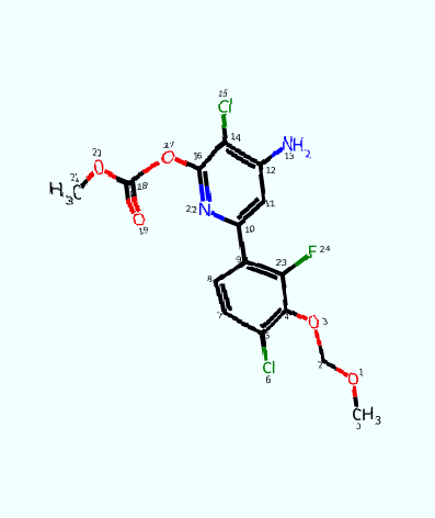 COCOc1c(Cl)ccc(-c2cc(N)c(Cl)c(OC(=O)OC)n2)c1F